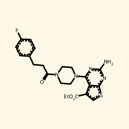 CCOC(=O)c1csc2nc(N)nc(N3CCN(C(=O)CCc4ccc(F)cc4)CC3)c12